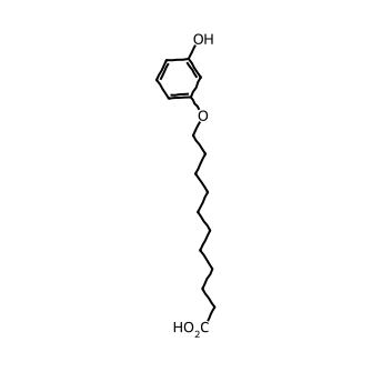 O=C(O)CCCCCCCCCCOc1cccc(O)c1